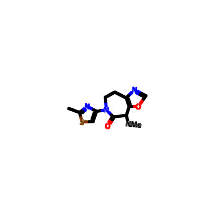 CNC1C(=O)N(c2csc(C)n2)CCc2ncoc21